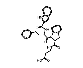 O=C(O)CCNC(=O)[C@@H]1Cc2ccccc2N1C(=O)[C@H](CCc1ccccc1)NC(=O)c1cc2ccccc2[nH]1